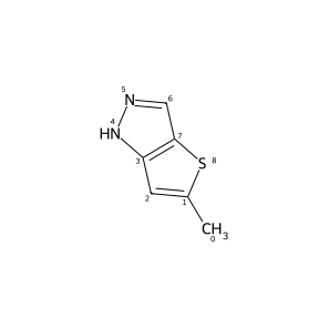 Cc1cc2[nH]ncc2s1